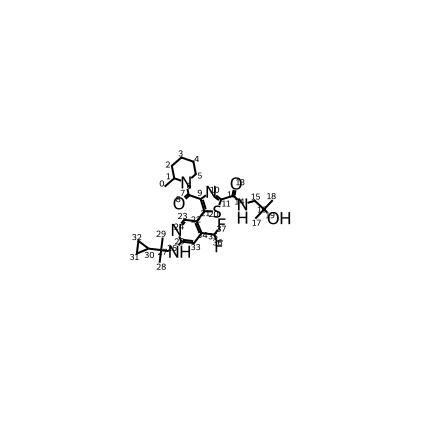 CC1CCCCN1C(=O)c1nc(C(=O)NCC(C)(C)O)sc1-c1cnc(NC(C)(C)C2CC2)cc1C(F)F